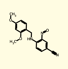 COc1ccc(CNc2ccc(C#N)cc2N=O)c(OC)c1